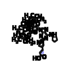 CC(C)(C)[Si](C)(C)OC[C@@H]1O[C@@H](n2cnc3c(NC4CCCC4)nc(-n4cc(/C=C/C(=O)O)cn4)nc32)[C@H](O[Si](C)(C)C(C)(C)C)[C@H]1O[Si](C)(C)C(C)(C)C